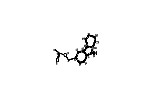 CC(=O)OCc1ccc2[nH]c3ccccc3c2c1